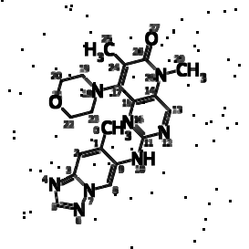 Cc1cc2ncnn2cc1Nc1ncc2c(n1)c(N1CCOCC1)c(C)c(=O)n2C